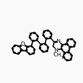 CN1CC(c2ccccc2-c2ccccc2-c2ccccc2-c2cccc3c2oc2ccccc23)=Nc2c1c1ccccc1c1ccccc21